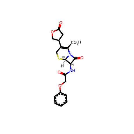 O=C(COc1ccccc1)N[C@@H]1C(=O)N2C(C(=O)O)=C(C3COC(=O)C3)CS[C@H]12